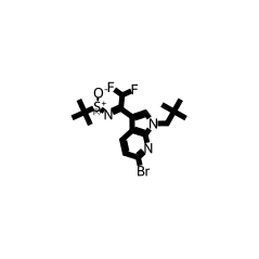 CC(C)(C)Cn1cc(C(=N[S@@+]([O-])C(C)(C)C)C(F)F)c2ccc(Br)nc21